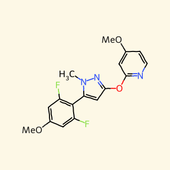 COc1ccnc(Oc2cc(-c3c(F)cc(OC)cc3F)n(C)n2)c1